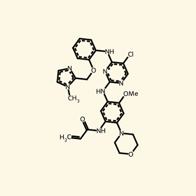 C=CC(=O)Nc1cc(Nc2ncc(Cl)c(Nc3ccccc3OCc3nccn3C)n2)c(OC)cc1N1CCOCC1